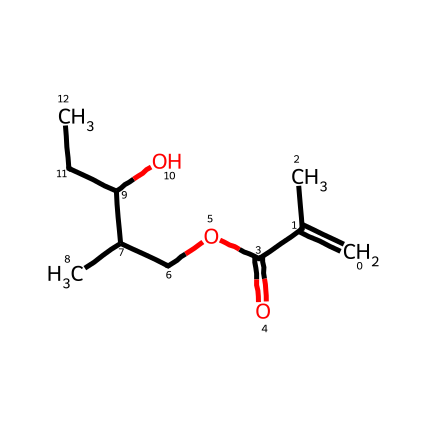 C=C(C)C(=O)OCC(C)C(O)CC